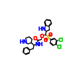 O=C(COC(C1Cc2ccccc2N1)S(=O)(=O)c1ccc(Cl)c(Cl)c1)NC(Cc1ccccc1)C1CCCNC1